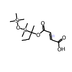 CCC(C)(OC(=O)/C=C/C(=O)O)[Si](C)(C)O[Si](C)(C)C